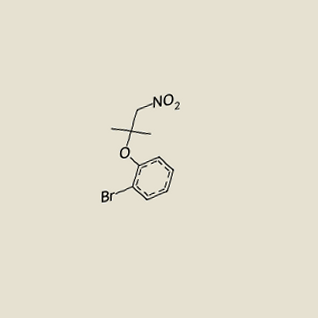 CC(C)(C[N+](=O)[O-])Oc1ccccc1Br